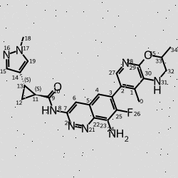 Cc1c(-c2cc3cc(NC(=O)[C@H]4C[C@@H]4c4cnn(C)c4)nnc3c(N)c2F)cnc2c1NCC(C)O2